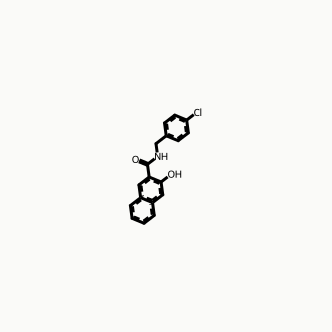 O=C(NCc1ccc(Cl)cc1)c1cc2ccccc2cc1O